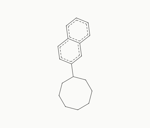 c1ccc2cc(C3CCCCCCC3)ccc2c1